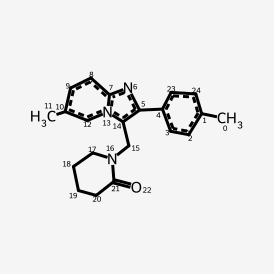 Cc1ccc(-c2nc3ccc(C)cn3c2CN2CCCCC2=O)cc1